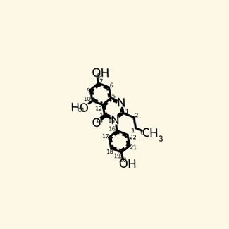 CCCc1nc2cc(O)cc(O)c2c(=O)n1-c1ccc(O)cc1